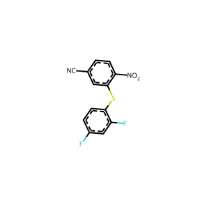 N#Cc1ccc([N+](=O)[O-])c(Sc2ccc(F)cc2F)c1